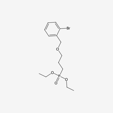 CCOP(=O)(CCCOCc1ccccc1Br)OCC